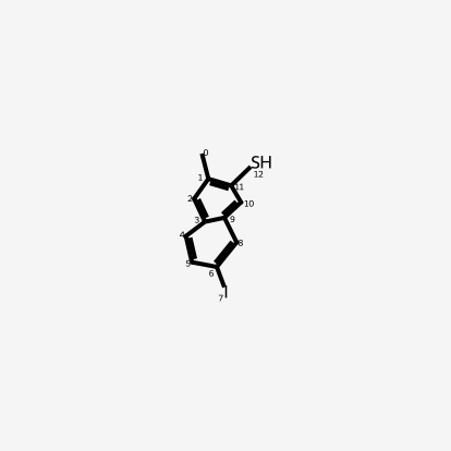 Cc1cc2ccc(I)cc2cc1S